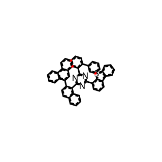 c1ccc(-c2ccccc2-c2nc(-c3c(-c4cc5ccccc5c5ccccc45)ccc4ccccc34)nc(-c3cccc4c3sc3ccccc34)n2)cc1